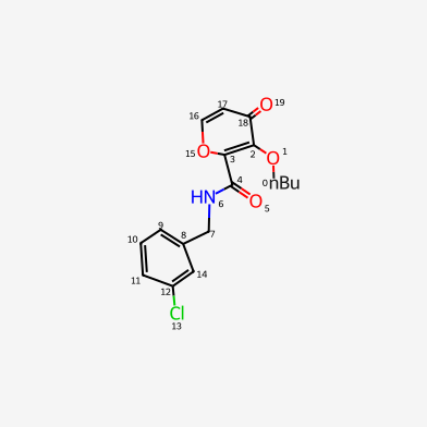 CCCCOc1c(C(=O)NCc2cccc(Cl)c2)occc1=O